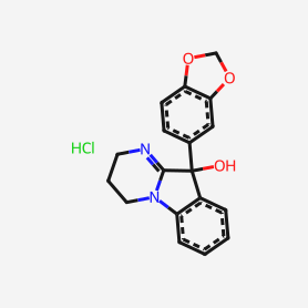 Cl.OC1(c2ccc3c(c2)OCO3)C2=NCCCN2c2ccccc21